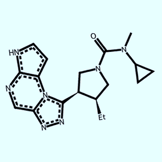 CC[C@@H]1CN(C(=O)N(C)C2CC2)C[C@@H]1c1nnc2cnc3[nH]ccc3n12